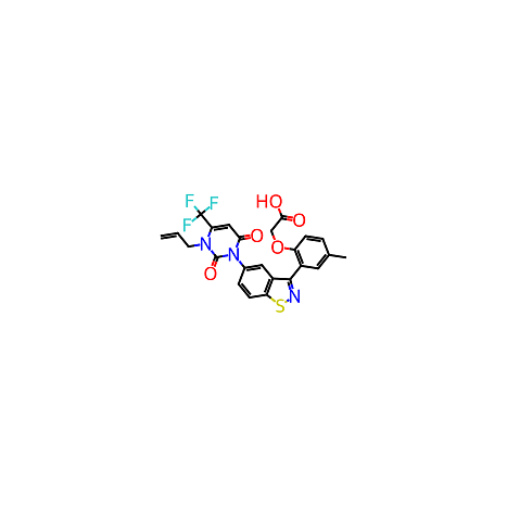 C=CCn1c(C(F)(F)F)cc(=O)n(-c2ccc3snc(-c4cc(C)ccc4OCC(=O)O)c3c2)c1=O